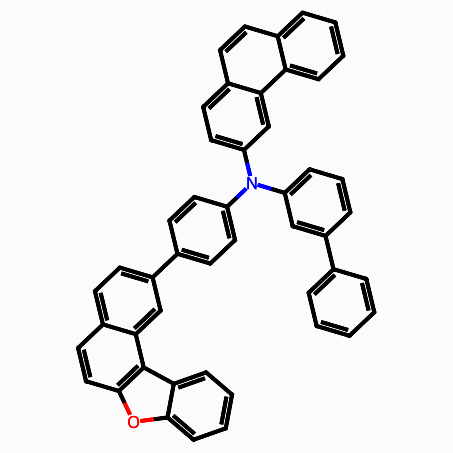 c1ccc(-c2cccc(N(c3ccc(-c4ccc5ccc6oc7ccccc7c6c5c4)cc3)c3ccc4ccc5ccccc5c4c3)c2)cc1